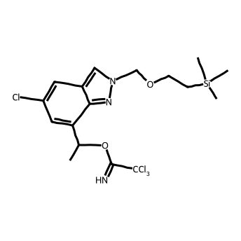 CC(OC(=N)C(Cl)(Cl)Cl)c1cc(Cl)cc2cn(COCC[Si](C)(C)C)nc12